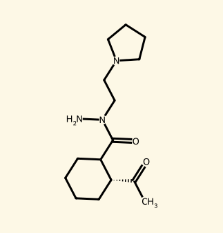 CC(=O)[C@@H]1CCCCC1C(=O)N(N)CCN1CCCC1